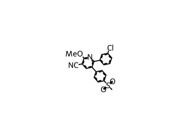 COc1nc(-c2cccc(Cl)c2)c(-c2ccc(S(C)(=O)=O)cc2)cc1C#N